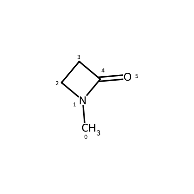 CN1CCC1=O